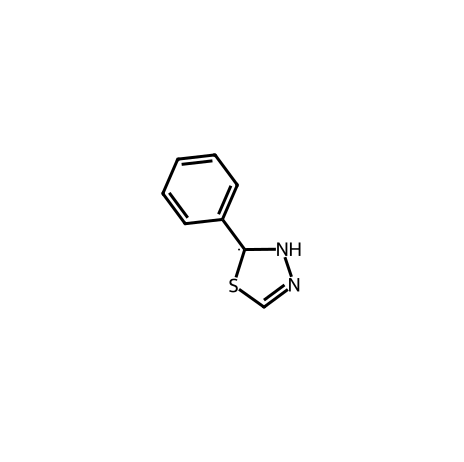 C1=NN[C](c2ccccc2)S1